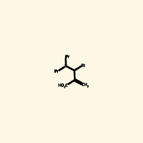 C=C(C(=O)O)C(CC)N(C(C)C)C(C)C